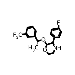 C[C@@H](OC1OCCNC1c1ccc(F)cc1)c1cccc(C(F)(F)F)c1